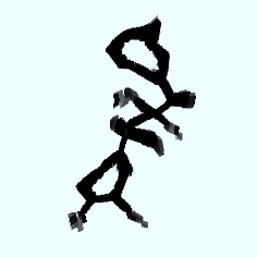 CC(C)(C(=O)c1ccccc1)S(=O)(=O)c1ccc(N)c(N)c1